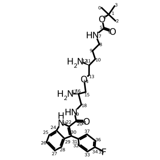 CC(C)(C)OC(=O)NCCC[C@H](N)COC[C@H](N)CNC(=O)c1[nH]c2ccccc2c1-c1ccc(F)cc1